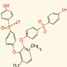 Cc1ccc(C)c(Oc2ccc(S(=O)(=O)c3ccc(O)cc3)cc2)c1Oc1ccc(S(=O)(=O)c2ccc(O)cc2)cc1